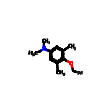 CC(=O)COc1c(C)cc(N(C)C)cc1C